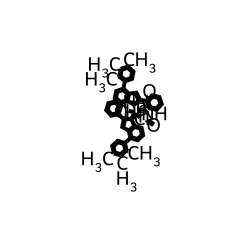 Cc1ccc(-c2cccc3c2C=C(c2ccccc2)[CH]3[Hf]([Cl])([Cl])([B](NC=O)NC=O)[CH]2C(c3ccccc3)=Cc3c(-c4ccc(C)c(C)c4C)cccc32)c(C)c1C